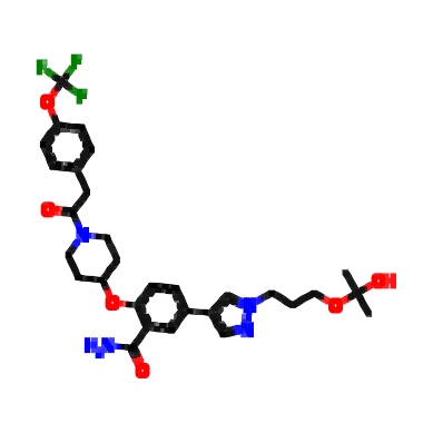 CC(C)(O)OCCCn1cc(-c2ccc(OC3CCN(C(=O)Cc4ccc(OC(F)(F)F)cc4)CC3)c(C(N)=O)c2)cn1